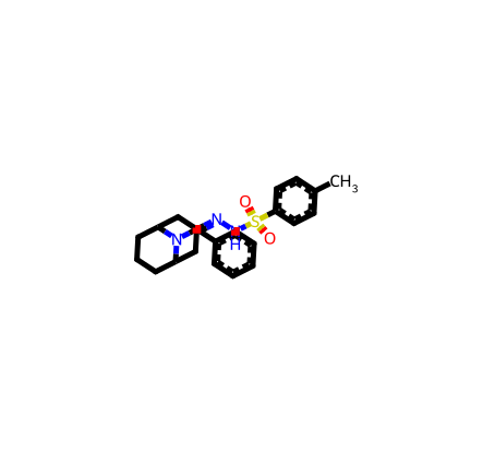 Cc1ccc(S(=O)(=O)NN=C2CC3CCCC(C2)N3Cc2ccccc2)cc1